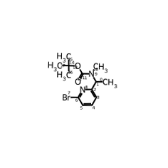 CC(c1cccc(Br)n1)N(C)C(=O)OC(C)(C)C